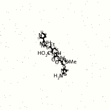 CCC(Sc1nnc(-c2cccnc2)[nH]1)C1=C(C(=O)O)N2C(=O)[C@@H](NC(=O)C(CSc3csc(N)n3)=NOC)[C@@H]2SC1